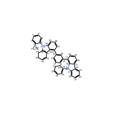 N#Cc1ccccc1-n1c2c(c3c(-c4cccc(-c5cccc6c7ccccc7n(C7=CC=CCC7)c56)c4)cccc31)C=CCC2